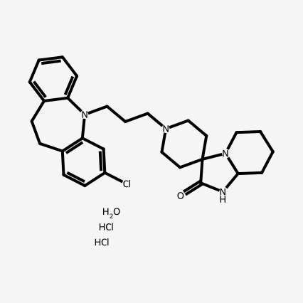 Cl.Cl.O.O=C1NC2CCCCN2C12CCN(CCCN1c3ccccc3CCc3ccc(Cl)cc31)CC2